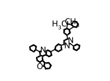 CC1(C)c2ccccc2-c2cc(-c3cc(-c4ccc(-c5ccc6c(c5)nc(-c5ccccc5)c5ccc7oc8ccccc8c7c56)cc4)nc(-c4ccccc4)n3)ccc21